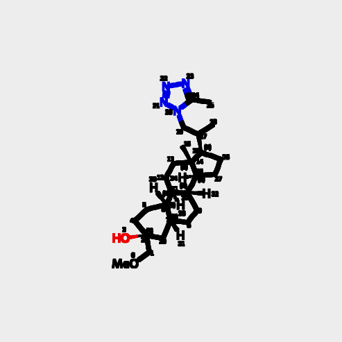 COC[C@@]1(O)CC[C@H]2[C@H](CC[C@@H]3[C@@H]2CC[C@]2(C)[C@@H](C(C)Cn4nnnc4C)CC[C@@H]32)C1